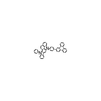 c1ccc(-n2c3ccccc3c3cc4c5c(ccc6cccc(c65)n4-c4ccc(-c5ccc6c7ccccc7c7ccccc7c6c5)cc4)c32)cc1